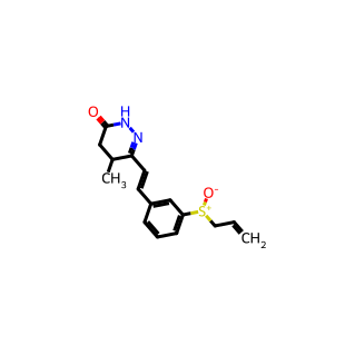 C=CC[S+]([O-])c1cccc(C=CC2=NNC(=O)CC2C)c1